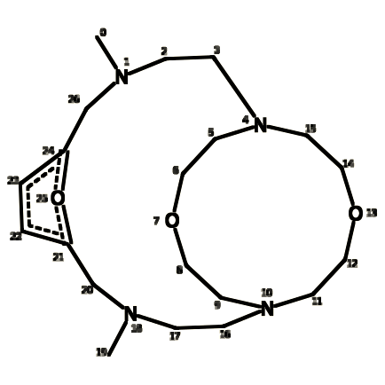 CN1CCN2CCOCCN(CCOCC2)CCN(C)Cc2ccc(o2)C1